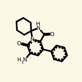 Nc1cc(-c2ccccc2)c2n(c1=O)C1(CCCCC1)NC2=O